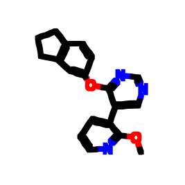 COc1ncccc1-c1cncnc1Oc1ccc2c(c1)CCC2